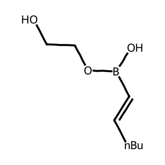 CCCC/C=C/B(O)OCCO